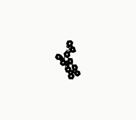 c1ccc(C2(c3ccccc3)c3ccccc3-c3ccc(-n4c5ccccc5c5c4ccc4c6ccccc6n(-c6ccc(-c7cccc8c7sc7ccccc78)cc6)c45)cc32)cc1